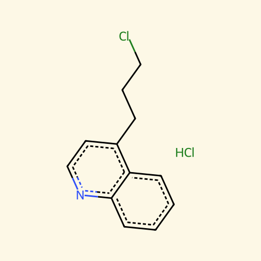 Cl.ClCCCc1ccnc2ccccc12